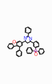 O=P(c1ccccc1)(c1ccccc1)c1cccc(C2=NC(c3ccccc3)=NC(c3cc(-c4ccccc4)c4c(c3)oc3ccccc34)C2)c1